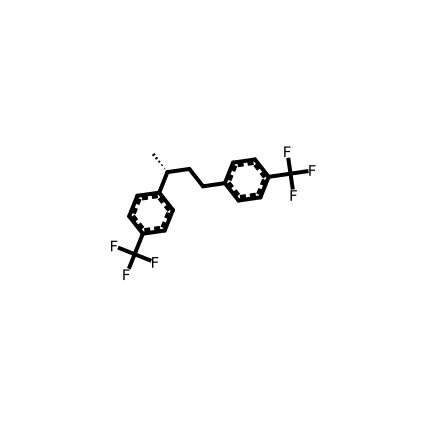 C[C@H](CCc1ccc(C(F)(F)F)cc1)c1ccc(C(F)(F)F)cc1